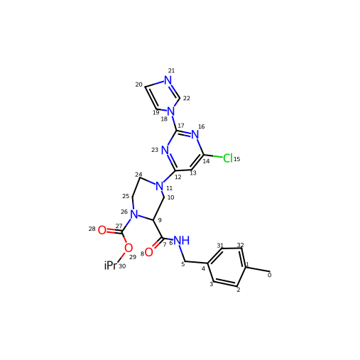 Cc1ccc(CNC(=O)C2CN(c3cc(Cl)nc(-n4ccnc4)n3)CCN2C(=O)OC(C)C)cc1